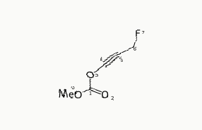 COC(=O)OC#CCF